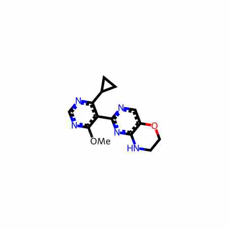 COc1ncnc(C2CC2)c1-c1ncc2c(n1)NCCO2